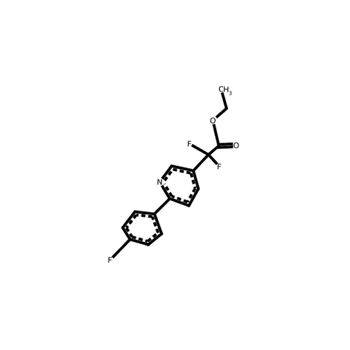 CCOC(=O)C(F)(F)c1ccc(-c2ccc(F)cc2)nc1